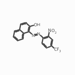 O=[N+]([O-])c1cc(C(F)(F)F)ccc1/N=N/c1c(O)ccc2ccccc12